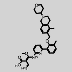 CO/C(Nc1cccc(-c2cccc(C)c2OCc2ccc3c(c2C)CCN(C2CCOCC2)C3)n1)=C(/C=N)C(=O)O